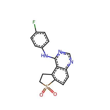 O=S1(=O)CCc2c1ccc1ncnc(Nc3ccc(F)cc3)c21